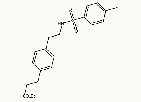 CCOC(=O)CCc1ccc(CCNS(=O)(=O)c2ccc(F)cc2)cc1